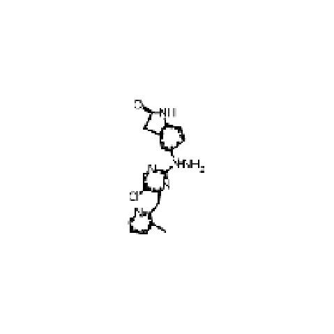 Cc1cccnc1Cc1nc(N(N)c2ccc3c(c2)CC(=O)N3)ncc1Cl